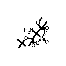 CCOP(=O)(OCC)C(N)(C(=O)OC)C(=O)OC(C)(C)C